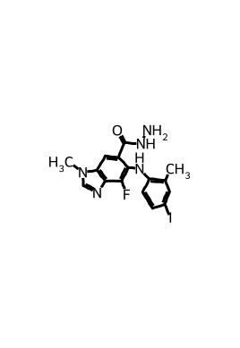 Cc1cc(I)ccc1Nc1c(C(=O)NN)cc2c(ncn2C)c1F